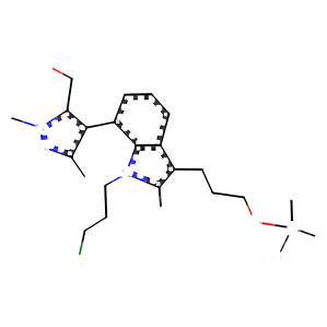 CCOC(=O)c1c(CCCO[Si](C)(C)C(C)(C)C)c2cccc(-c3c(C)nn(C)c3CO)c2n1CCCBr